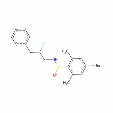 Cc1cc(C(C)(C)C)cc(C)c1[S+]([O-])NCC(F)Cc1ccccc1